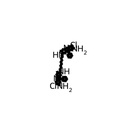 CC1=CC2=Nc3cc(Cl)c(N)cc3N(c3ccccc3)C2C=C1NCCCCCCCCNc1cc2c(cc1C)nc1cc(Cl)c(N)cc1[n+]2-c1ccccc1